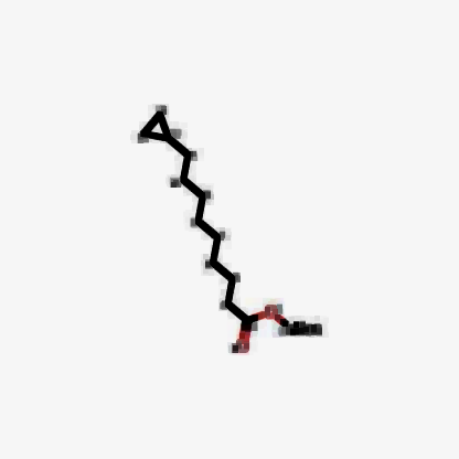 CCCCCCCCCOC(=O)CCCCCCCCC1CC1